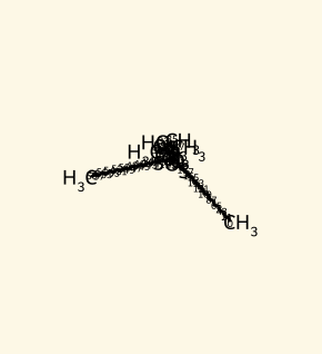 CCCCCCCCCCCCCCCCCCSCCOP(=O)(Cc1cc(C(C)(C)C)c(O)c(C)c1C)OCCSCCCCCCCCCCCCCCCCCC